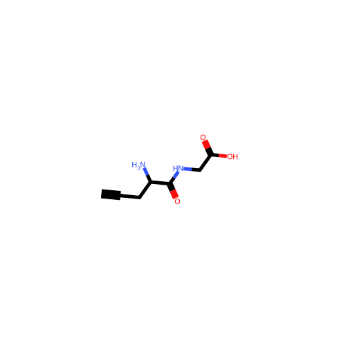 C#CCC(N)C(=O)NCC(=O)O